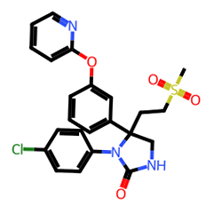 CS(=O)(=O)CCC1(c2cccc(Oc3ccccn3)c2)CNC(=O)N1c1ccc(Cl)cc1